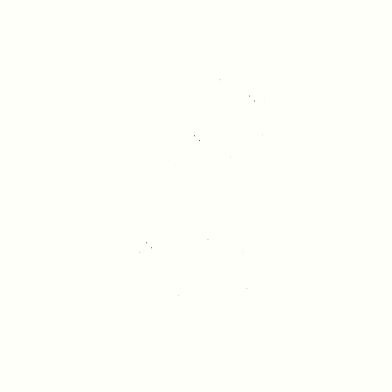 O=C(c1cnc2ccccc2c1)N1CCNCC1